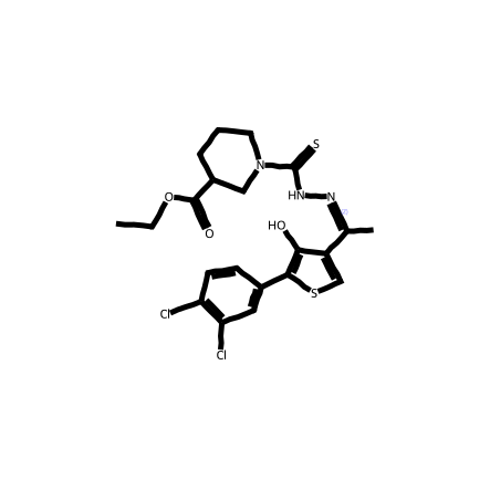 CCOC(=O)C1CCCN(C(=S)N/N=C(/C)c2csc(-c3ccc(Cl)c(Cl)c3)c2O)C1